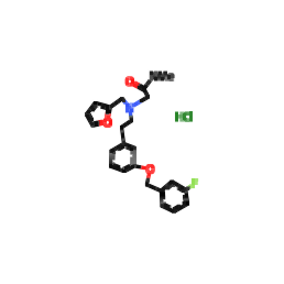 CNC(=O)CN(CCc1cccc(OCc2cccc(F)c2)c1)Cc1ccco1.Cl